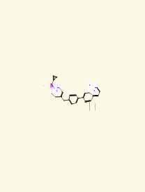 Cc1cc2cccnc2cc1-c1ccc(CC2=CCN(C(=O)C3CC3)CC2)cc1